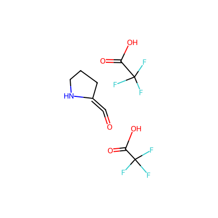 O=C(O)C(F)(F)F.O=C(O)C(F)(F)F.O=C=C1CCCN1